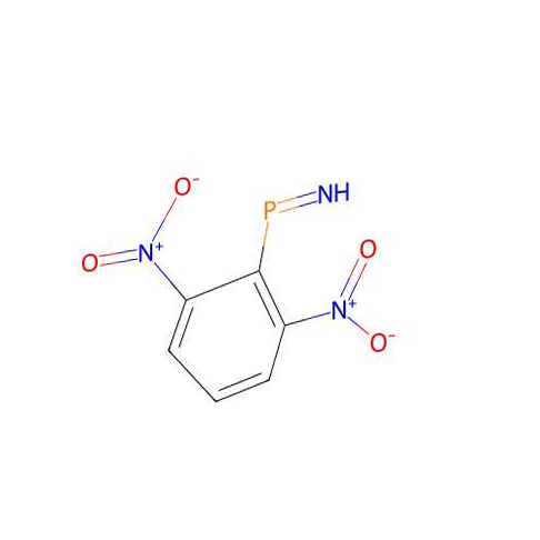 N=Pc1c([N+](=O)[O-])cccc1[N+](=O)[O-]